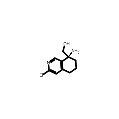 N[C@@]1(CO)CCCc2cc(Cl)ncc21